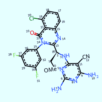 COC[C@H](Nc1nc(N)nc(N)c1C#N)c1nc2cccc(Cl)c2c(=O)n1-c1cc(F)cc(F)c1